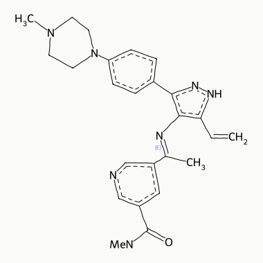 C=Cc1[nH]nc(-c2ccc(N3CCN(C)CC3)cc2)c1/N=C(\C)c1cncc(C(=O)NC)c1